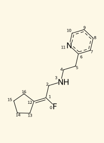 FC(CNCCc1ccccn1)=C1CCCC1